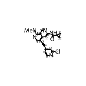 CNc1ncc(C#Cc2ccnc(Cl)c2)c2cc(NC(=O)C3CC3)ncc12